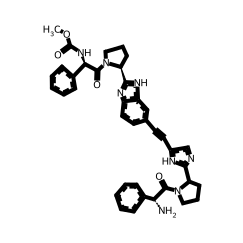 COC(=O)N[C@@H](C(=O)N1CCC[C@H]1c1nc2ccc(C#Cc3cnc(C4CCCN4C(=O)[C@H](N)c4ccccc4)[nH]3)cc2[nH]1)c1ccccc1